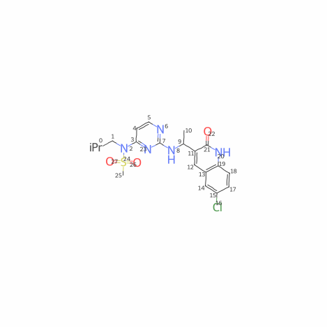 CC(C)CN(c1ccnc(NC(C)c2cc3cc(Cl)ccc3[nH]c2=O)n1)S(C)(=O)=O